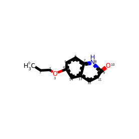 CCCOc1ccc2[nH]c(=O)ccc2c1